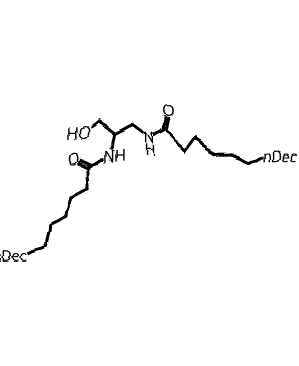 CCCCCCCCCCCCCCCC(=O)NCC(CO)NC(=O)CCCCCCCCCCCCCCC